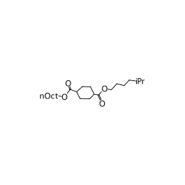 CCCCCCCCOC(=O)C1CCC(C(=O)OCCCCC(C)C)CC1